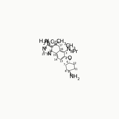 CC(C)N(C)c1c(O[C@H]2CC[C@H](N)CC2)ccc2c1CC(C)(C)c1c(N)ncnc1-2